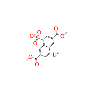 COC(=O)c1cc(S(=O)(=O)[O-])c2cc(C(=O)OC)ccc2c1.[Li+]